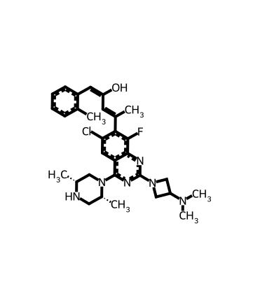 C/C(=C\C(O)=C/c1ccccc1C)c1c(Cl)cc2c(N3C[C@@H](C)NC[C@H]3C)nc(N3CC(N(C)C)C3)nc2c1F